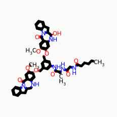 CCCCCC(=O)NCC(=O)NC(C)C(=O)Nc1cc(COc2cc3c(cc2OC)C(=O)N2c4ccccc4CC2CN3)cc(COc2cc3c(cc2OC)C(=O)N2c4ccccc4CC2[C@@H](O)N3)c1